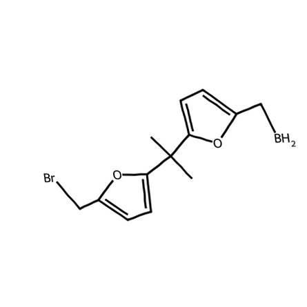 BCc1ccc(C(C)(C)c2ccc(CBr)o2)o1